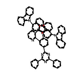 c1ccc(-c2nc(-c3ccccc3)nc(-c3ccc(-n4c5ccccc5c5cc(-n6c7ccccc7c7ccccc76)ccc54)c(-c4ncccc4-n4c5ccccc5c5cc(-n6c7ccccc7c7ccccc76)ccc54)c3)n2)cc1